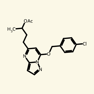 CC(=O)OC(C)CCc1cc(OCc2ccc(Cl)cc2)n2nccc2n1